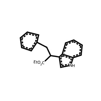 CCOC(=O)C(Cc1ccccc1)c1c[nH]c2ccccc12